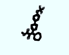 COC(=O)C(=O)N(c1ccc(-c2ccc(OC(F)(F)F)cc2)cc1)C1CCCCCC1